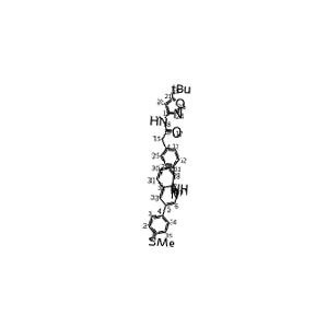 CSc1ccc(C2=CC3=NNC(c4ccc(CC(=O)Nc5cc(C(C)(C)C)on5)cc4)C34C=CC=CC4=C2)cc1